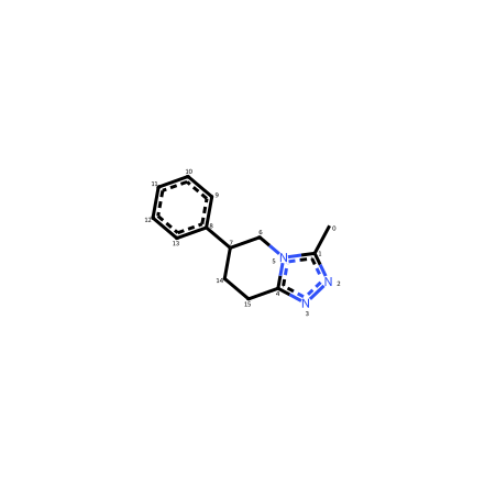 Cc1nnc2n1CC(c1ccccc1)CC2